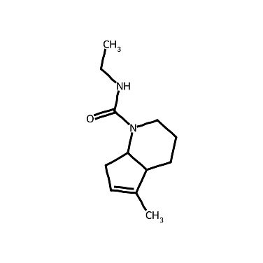 CCNC(=O)N1CCCC2C(C)=CCC21